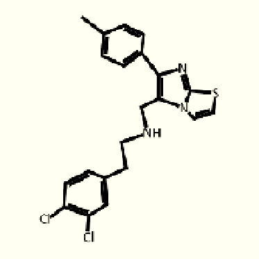 Cc1ccc(-c2nc3sccn3c2CNCCc2ccc(Cl)c(Cl)c2)cc1